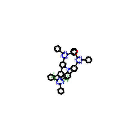 FC(F)(F)c1cc(-c2ccc(-c3nc(-c4ccccc4)nc(-c4ccccc4)n3)cc2-n2c3cc(-c4nc(-c5ccccc5)nc(-c5ccccc5)n4)ccc3c3ccc(-c4nc(-c5ccccc5)nc(-c5ccccc5)n4)cc32)cc(C(F)(F)F)c1